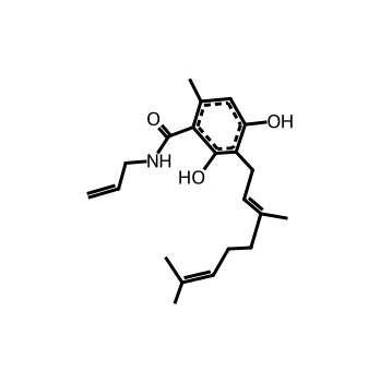 C=CCNC(=O)c1c(C)cc(O)c(C/C=C(\C)CCC=C(C)C)c1O